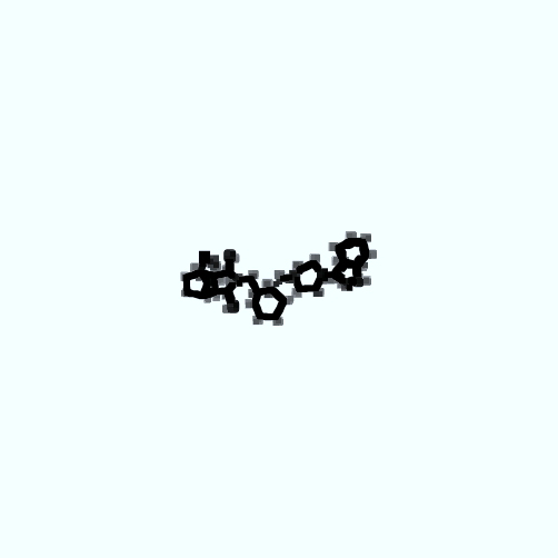 O=C1C2=C3CC[C@@H](C3)[C@H]2C(=O)N1CC1CCCC[C@H]1CN1CCN(c2nsc3ccccc23)CC1